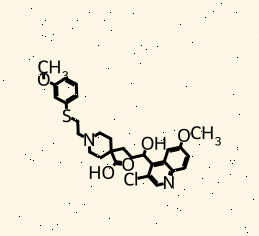 COc1cccc(SCCN2CCC(CCC(O)c3c(Cl)cnc4ccc(OC)cc34)(C(=O)O)CC2)c1